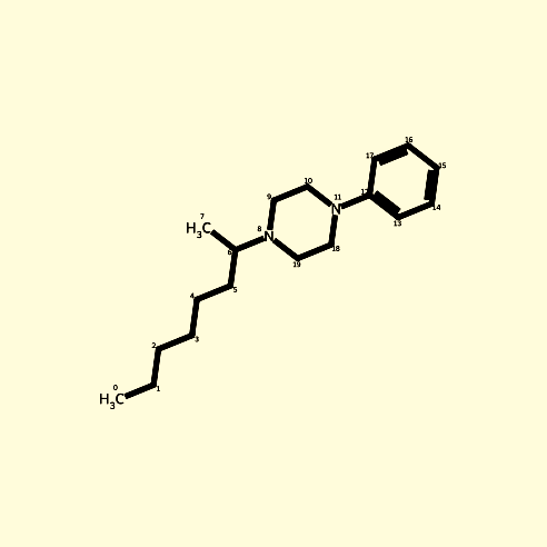 CCCCCCC(C)N1CCN(c2ccccc2)CC1